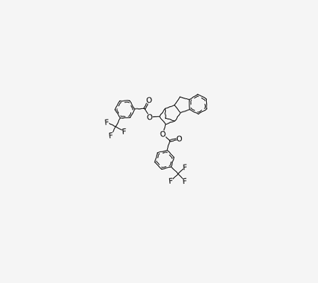 O=C(OC1C2CC(C1OC(=O)c1cccc(C(F)(F)F)c1)C1c3ccccc3CC21)c1cccc(C(F)(F)F)c1